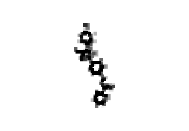 Cc1nc(-c2ccc(OCC(=O)c3ccccn3)cc2)[nH]c1-c1ccc(Cl)cc1